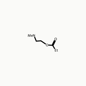 CCC(=O)OCCNC